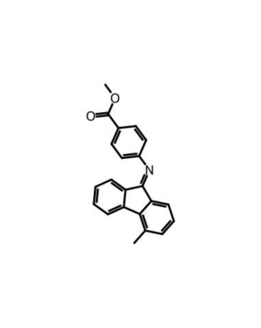 COC(=O)c1ccc(/N=C2\c3ccccc3-c3c(C)cccc32)cc1